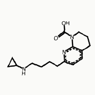 O=C(O)N1CCCc2ccc(CCCCNC3CC3)nc21